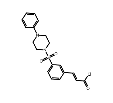 O=C(Cl)C=Cc1cccc(S(=O)(=O)N2CCN(c3ccccc3)CC2)c1